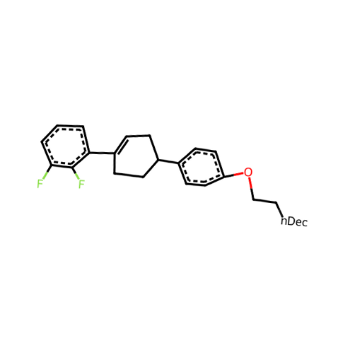 CCCCCCCCCCCCOc1ccc(C2CC=C(c3cccc(F)c3F)CC2)cc1